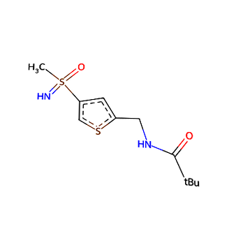 CC(C)(C)C(=O)NCc1cc(S(C)(=N)=O)cs1